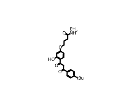 CC(C)(C)c1ccc(C(=O)CC(=O)c2ccc(OCCCC(=O)NP)cc2O)cc1